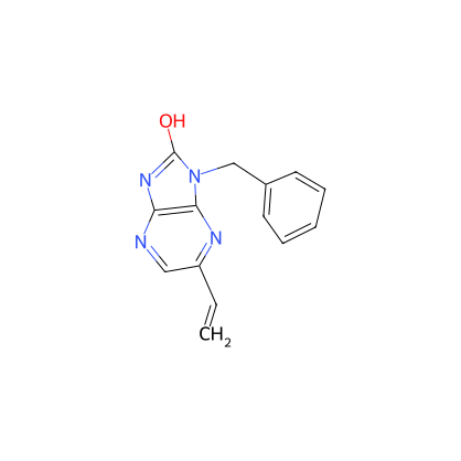 C=Cc1cnc2nc(O)n(Cc3ccccc3)c2n1